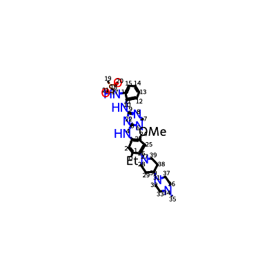 CCc1cc(Nc2ncnc(Nc3ccccc3NS(C)(=O)=O)n2)c(OC)cc1N1CCC(N2CCN(C)CC2)CC1